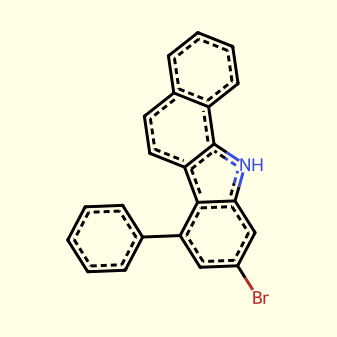 Brc1cc(-c2ccccc2)c2c(c1)[nH]c1c3ccccc3ccc12